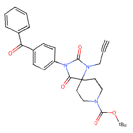 C#CCN1C(=O)N(c2ccc(C(=O)c3ccccc3)cc2)C(=O)C12CCN(C(=O)OC(C)(C)C)CC2